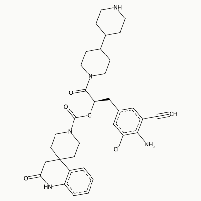 C#Cc1cc(C[C@@H](OC(=O)N2CCC3(CC2)CC(=O)Nc2ccccc23)C(=O)N2CCC(C3CCNCC3)CC2)cc(Cl)c1N